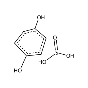 O=S(O)O.Oc1ccc(O)cc1